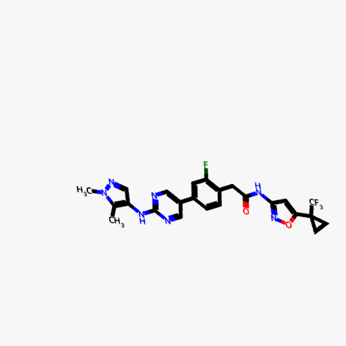 Cc1c(Nc2ncc(-c3ccc(CC(=O)Nc4cc(C5(C(F)(F)F)CC5)on4)c(F)c3)cn2)cnn1C